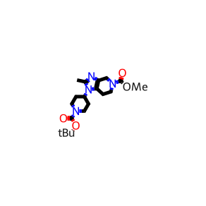 COC(=O)N1CCc2c(nc(C)n2C2CCN(C(=O)OC(C)(C)C)CC2)C1